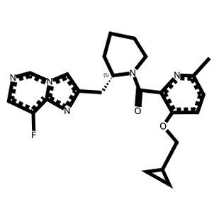 Cc1ccc(OCC2CC2)c(C(=O)N2CCCC[C@H]2Cc2cn3cncc(F)c3n2)n1